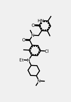 CCN(c1cc(Cl)cc(C(=O)N(C)Cc2c(C)cc(C)[nH]c2=O)c1C)C1CCC(N(C)C)CC1